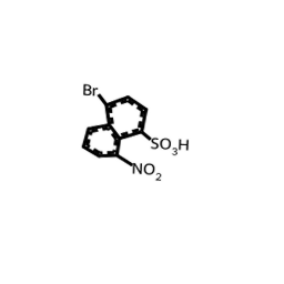 O=[N+]([O-])c1cccc2c(Br)ccc(S(=O)(=O)O)c12